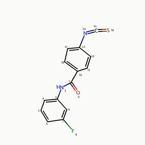 O=C(Nc1cccc(F)c1)c1ccc(N=C=S)cc1